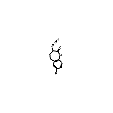 [N-]=[N+]=NC1CCc2cc(Br)cnc2NC1=O